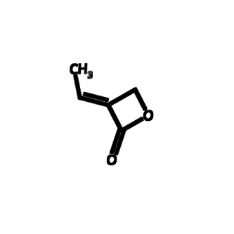 CC=C1COC1=O